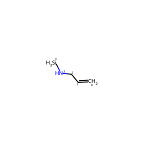 C=CCN[SiH3]